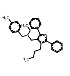 CCCCn1c(-c2ccccc2)nc(-c2ccccc2)c1CN(CC)Cc1ccc(C)cc1